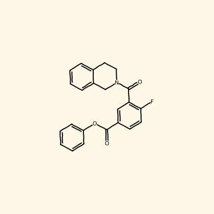 O=C(Oc1ccccc1)c1ccc(F)c(C(=O)N2CCc3ccccc3C2)c1